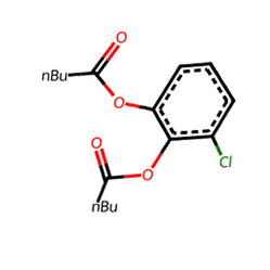 CCCCC(=O)Oc1cccc(Cl)c1OC(=O)CCCC